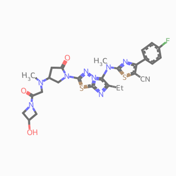 CCc1nc2sc(N3CC(N(C)CC(=O)N4CC(O)C4)CC3=O)nn2c1N(C)c1nc(-c2ccc(F)cc2)c(C#N)s1